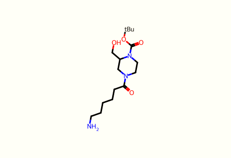 CC(C)(C)OC(=O)N1CCN(C(=O)CCCCCN)CC1CO